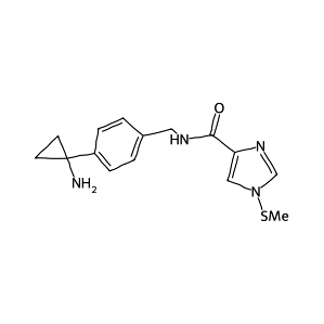 CSn1cnc(C(=O)NCc2ccc(C3(N)CC3)cc2)c1